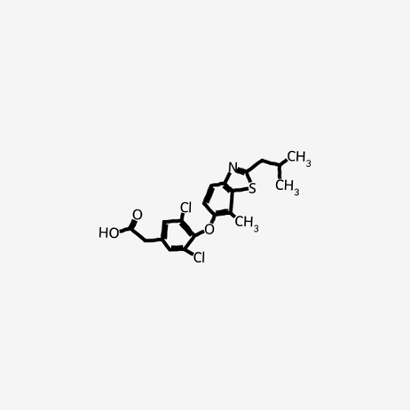 Cc1c(Oc2c(Cl)cc(CC(=O)O)cc2Cl)ccc2nc(CC(C)C)sc12